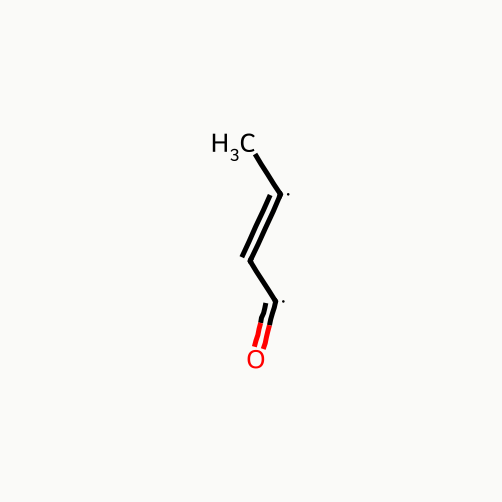 C/[C]=C/[C]=O